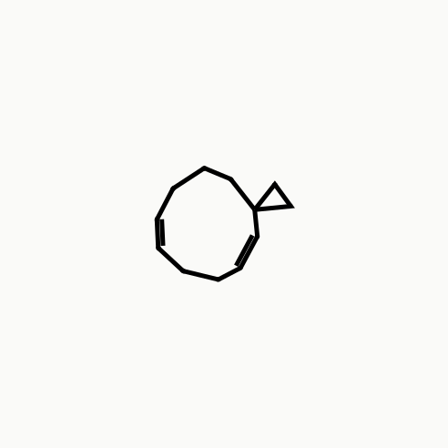 C1=C\CCCC2(/C=C\CC/1)CC2